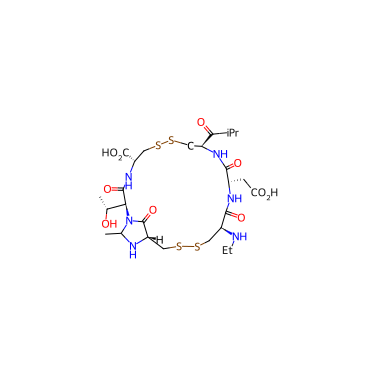 CCN[C@H]1CSSC[C@@H]2NC(C)N(C2=O)[C@@H]([C@@H](C)O)C(=O)N[C@H](C(=O)O)CSSC[C@@H](C(=O)C(C)C)NC(=O)[C@H](CC(=O)O)NC1=O